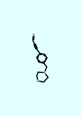 O=CC#Cc1ccc(CN2CCOCC2)cc1